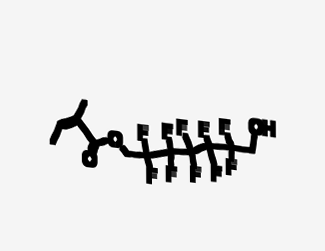 CC=C(C)C(=O)OCC(F)(F)C(F)(F)C(F)(F)C(F)(F)C(F)(F)CO